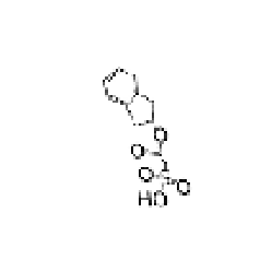 O=C(CS(=O)(=O)O)OC1Cc2ccccc2C1